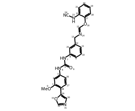 COc1cc(NC(=O)Nc2cccc(CN=COc3ccccc3NC#N)c2)ccc1-c1cnco1